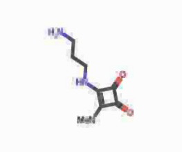 CNc1c(NCCCN)c(=O)c1=O